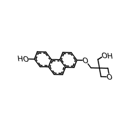 OCC1(COc2ccc3c(ccc4cc(O)ccc43)c2)COC1